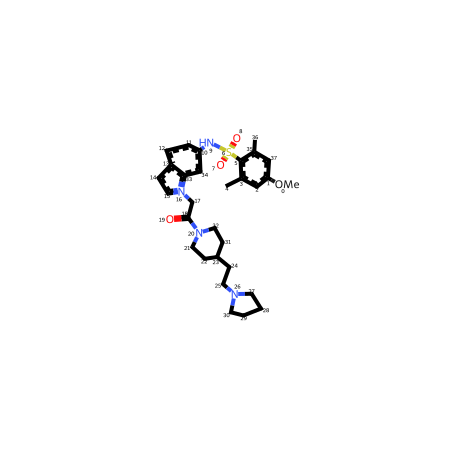 COc1cc(C)c(S(=O)(=O)Nc2ccc3ccn(CC(=O)N4CCC(CCN5CCCC5)CC4)c3c2)c(C)c1